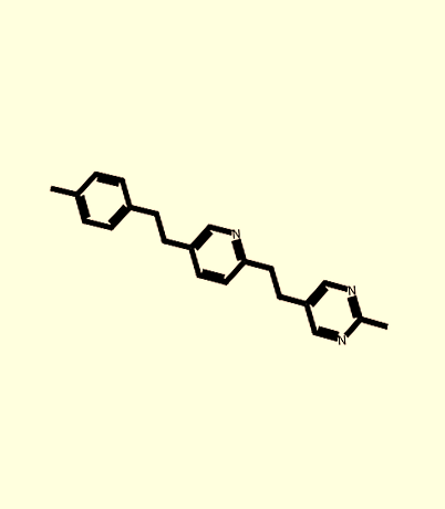 Cc1ccc(CCc2ccc(CCc3cnc(C)nc3)nc2)cc1